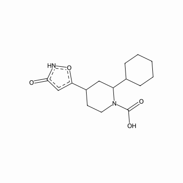 O=C(O)N1CCC(c2cc(=O)[nH]o2)CC1C1CCCCC1